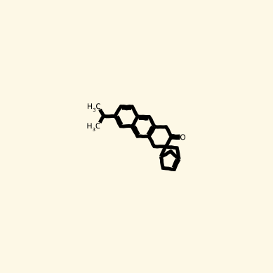 CC(C)c1ccc2cc3c(cc2c1)CC1(CC2=CCC1C2)C(=O)C3